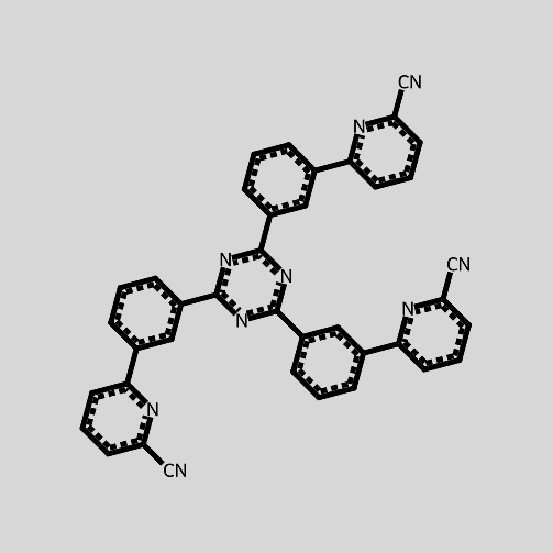 N#Cc1cccc(-c2cccc(-c3nc(-c4cccc(-c5cccc(C#N)n5)c4)nc(-c4cccc(-c5cccc(C#N)n5)c4)n3)c2)n1